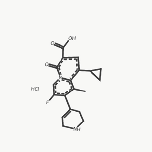 Cc1c(C2=CCNCC2)c(F)cn2c(=O)c(C(=O)O)cc(C3CC3)c12.Cl